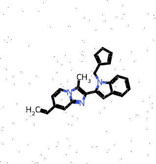 C=Cc1ccn2c(C)c(-c3cc4ccccc4n3CC3=CCC=C3)nc2c1